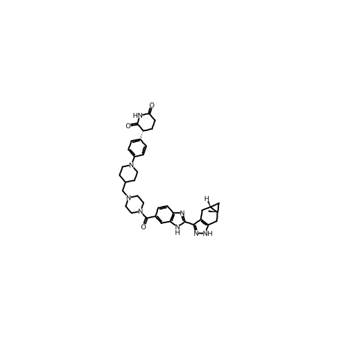 C[C@@]12Cc3[nH]nc(-c4nc5ccc(C(=O)N6CCN(CC7CCN(c8ccc([C@H]9CCC(=O)NC9=O)cc8)CC7)CC6)cc5[nH]4)c3C[C@@H]1C2